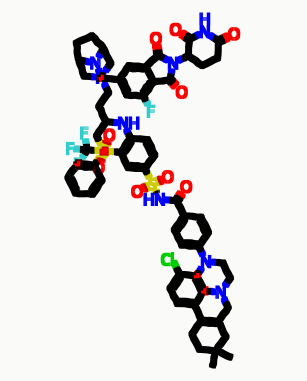 CC1(C)CCC(c2ccc(Cl)cc2)=C(CN2CCN(c3ccc(C(=O)NS(=O)(=O)c4ccc(NC(CCN5CC6CCC(C5)N6Cc5cc(F)c6c(c5)C(=O)N(C5CCC(=O)NC5=O)C6=O)CSc5ccccc5)c(S(=O)(=O)C(F)(F)F)c4)cc3)CC2)C1